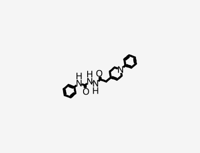 O=C(CC1=CCN(c2ccccc2)CC1)NNC(=O)Nc1ccccc1